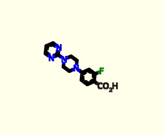 O=C(O)c1ccc(N2CCN(c3ncccn3)CC2)cc1F